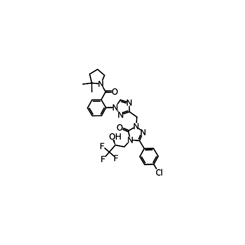 CC1(C)CCCN1C(=O)c1ccccc1-n1cnc(Cn2nc(-c3ccc(Cl)cc3)n(C[C@H](O)C(F)(F)F)c2=O)n1